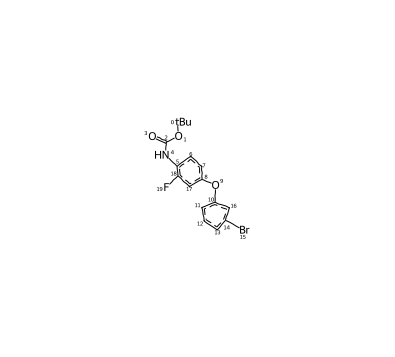 CC(C)(C)OC(=O)Nc1ccc(Oc2cccc(Br)c2)cc1F